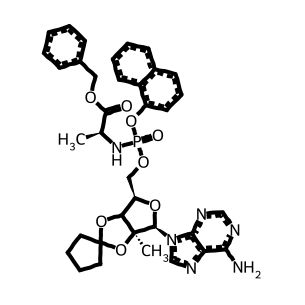 C[C@H](NP(=O)(OC[C@H]1O[C@@H](n2cnc3c(N)ncnc32)[C@@]2(C)OC3(CCCC3)OC12)Oc1cccc2ccccc12)C(=O)OCc1ccccc1